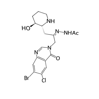 CC(=O)N/N=C(/C[C@H]1NCCC[C@@H]1O)Cn1cnc2cc(Br)c(Cl)cc2c1=O